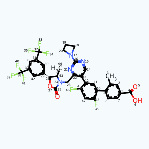 Cc1cc(C(=O)O)ccc1-c1cc(-c2cnc(N3CCC3)nc2CN2C(=O)O[C@H](c3cc(C(F)(F)F)cc(C(F)(F)F)c3)C2C)c(F)cc1F